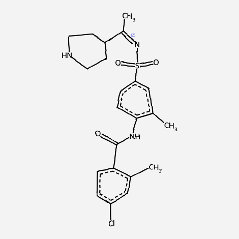 C/C(=N/S(=O)(=O)c1ccc(NC(=O)c2ccc(Cl)cc2C)c(C)c1)C1CCNCC1